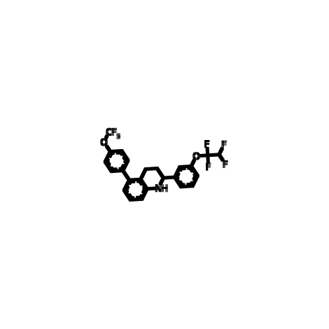 FC(F)C(F)(F)Oc1cccc(C2CCc3c(cccc3-c3ccc(OC(F)(F)F)cc3)N2)c1